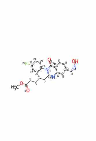 COC(=O)CCCCc1nc2cc(/C=N\O)ccc2c(=O)n1-c1ccc(F)cc1